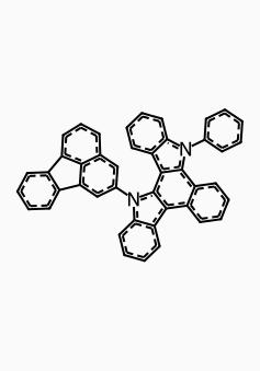 c1ccc(-n2c3ccccc3c3c2c2ccccc2c2c4ccccc4n(-c4cc5c6c(cccc6c4)-c4ccccc4-5)c23)cc1